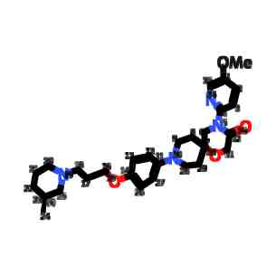 COc1ccc(N2CC3(CCN(c4ccc(OCCCN5CCC[C@H](C)C5)cc4)CC3)OCC2=O)nc1